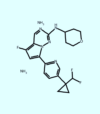 Fc1cc(-c2ccc(C3(C(F)F)CC3)cn2)n2nc(NC3CCOCC3)ncc12.N.N